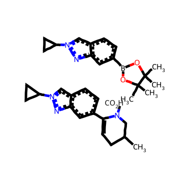 CC1(C)OB(c2ccc3cn(C4CC4)nc3c2)OC1(C)C.CC1CC=C(c2ccc3cn(C4CC4)nc3c2)N(C(=O)O)C1